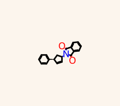 O=C1c2ccccc2C(=O)N1[C@H]1C=C[C@@H](c2ccccc2)C1